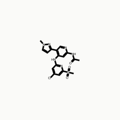 CC(=O)Nc1cc(Nc2cc(Cl)cc(S(C)(=O)=O)n2)c(-c2ccn(C)n2)cn1